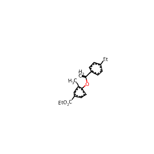 C=C(Oc1ccc(C(=O)OCC)cc1C)c1ccc(CC)cc1